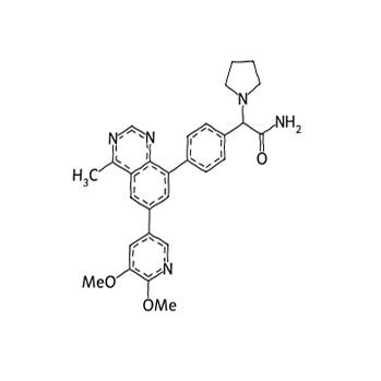 COc1cc(-c2cc(-c3ccc(C(C(N)=O)N4CCCC4)cc3)c3ncnc(C)c3c2)cnc1OC